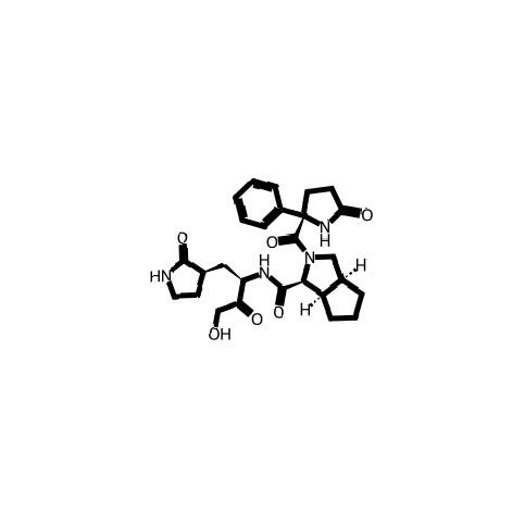 O=C1CC[C@@](C(=O)N2C[C@H]3CCC[C@H]3[C@H]2C(=O)N[C@H](C[C@H]2CCNC2=O)C(=O)CO)(c2ccccc2)N1